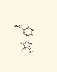 CSc1cncc(-c2nc(Cl)c(C)s2)c1